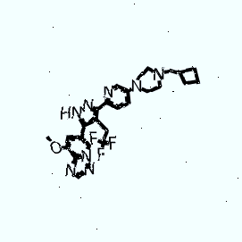 COc1cc(-c2[nH]nc(-c3ccc(N4CCN(CC5CCC5)CC4)cn3)c2CC(F)(F)F)cn2ncnc12